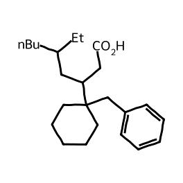 CCCCC(CC)CC(CC(=O)O)C1(Cc2ccccc2)CCCCC1